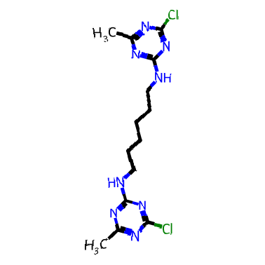 Cc1nc(Cl)nc(NCCCCCCNc2nc(C)nc(Cl)n2)n1